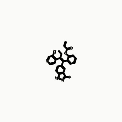 C=CC(=O)Oc1ccccc1/C(=C(\CC)c1ccncc1Cl)c1ccc2[nH]nc(F)c2c1